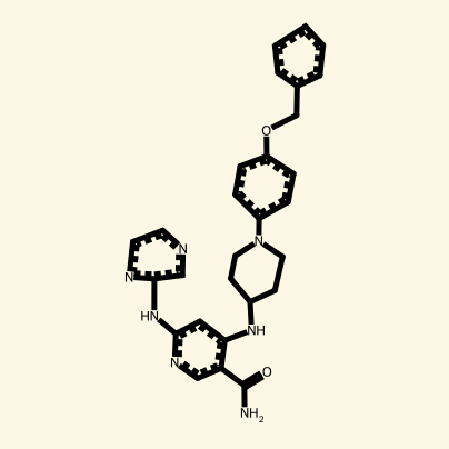 NC(=O)c1cnc(Nc2cnccn2)cc1NC1CCN(c2ccc(OCc3ccccc3)cc2)CC1